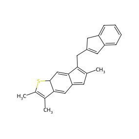 CC1=C(CC2=Cc3ccccc3C2)C2=CC3SC(C)=C(C)C3=CC2=C1